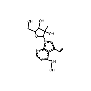 C=Cc1cn(C2OC(CO)C(O)C2(C)O)c2ncnc(NO)c12